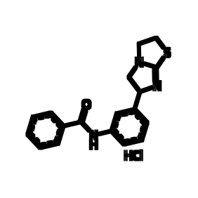 Cl.O=C(Nc1cccc(C2CN3CCSC3=N2)c1)c1ccccc1